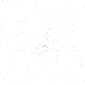 O=C(CNc1ccc2c(c1)CCC=N2)N1CCN2C(=O)c3ccccc3C12c1ccc(Cl)cc1